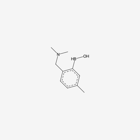 Cc1ccc(CN(C)C)c(BO)c1